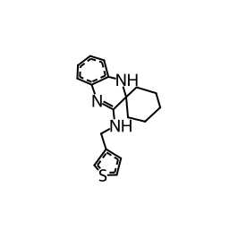 c1ccc2c(c1)N=C(NCc1ccsc1)C1(CCCCC1)N2